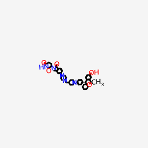 C[C@@H]1OC2(CCCCC2)[C@@H](c2ccc(N3CCC(CN4CCN(c5ccc6c(c5)CN([C@H]5CCC(=O)NC5=O)C6=O)CC4)CC3)cc2)c2ccc(O)cc21